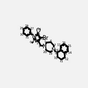 Cn1c(CN2CCCN([C@@H]3CCCc4ccccc43)CC2)c(Br)c(=O)n1-c1ccccc1